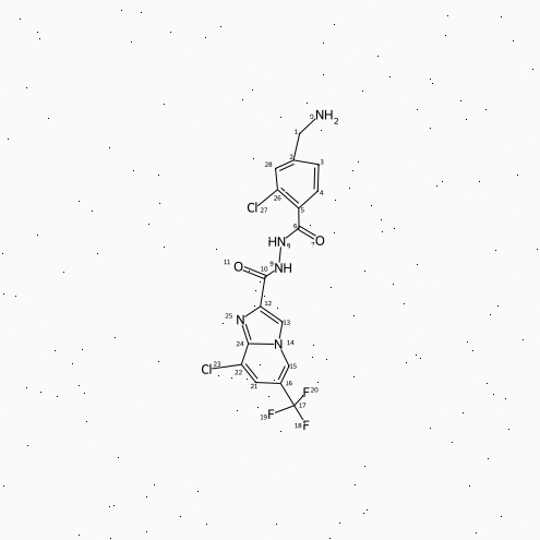 NCc1ccc(C(=O)NNC(=O)c2cn3cc(C(F)(F)F)cc(Cl)c3n2)c(Cl)c1